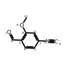 [C-]#[N+]c1ccc(C=O)c(OC)c1